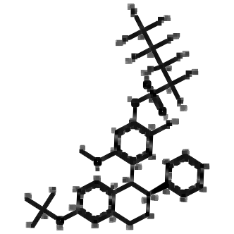 COc1cc(OS(=O)(=O)C(F)(F)C(F)(F)C(F)(F)C(F)(F)F)c(F)cc1C1c2ccc(OC(C)(C)C)cc2CC[C@@H]1c1ccccc1